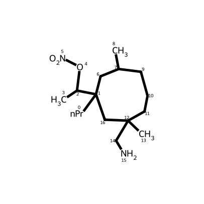 CCCC1(C(C)O[N+](=O)[O-])CC(C)CCCC(C)(CN)C1